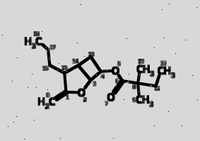 C=C1OC2C(OC(=O)C(C)(C)CC)CC2C1CCC